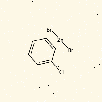 Clc1cc[c]cc1.[Br][Zn][Br]